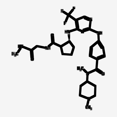 CNC(=O)CNC(=O)C1CCC[C@H]1Nc1nc(Nc2ccc(C(=O)N(C)C3CCN(C)CC3)cc2)ncc1C(F)(F)F